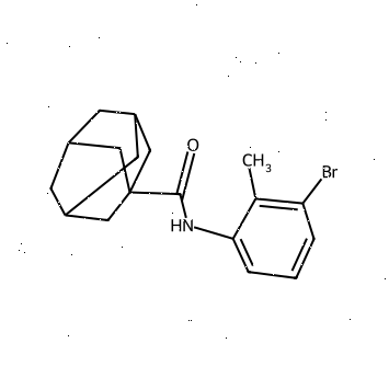 Cc1c(Br)cccc1NC(=O)C12CC3CC(CC(C3)C1)C2